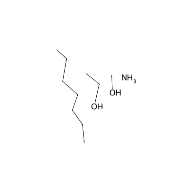 CCCCCCC.CCO.CO.N